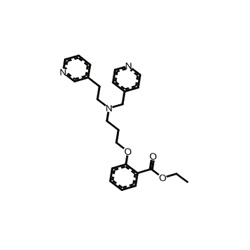 CCOC(=O)c1ccccc1OCCCN(CCc1cccnc1)Cc1ccncc1